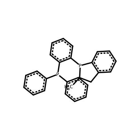 CC1Cc2ccccc2P1c1ccccc1P(c1ccccc1)c1ccccc1